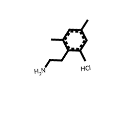 Cc1cc(C)c(CCN)c(C)c1.Cl